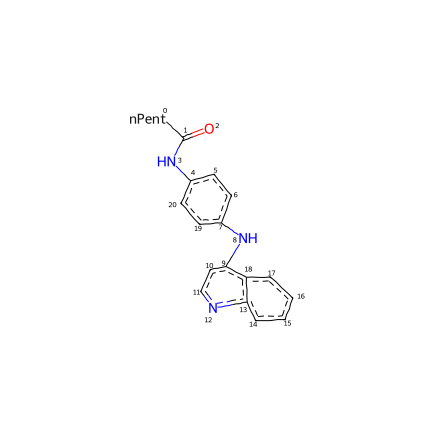 CCCCCC(=O)Nc1ccc(Nc2ccnc3ccccc23)cc1